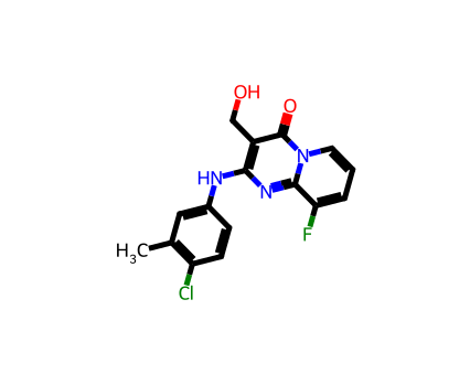 Cc1cc(Nc2nc3c(F)cccn3c(=O)c2CO)ccc1Cl